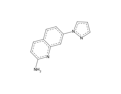 Nc1ccc2ccc(-n3cccn3)cc2n1